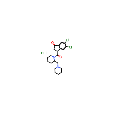 Cl.O=C1CC(C(=O)N2CCCCC2CN2CCCCC2)c2cc(Cl)c(Cl)cc21